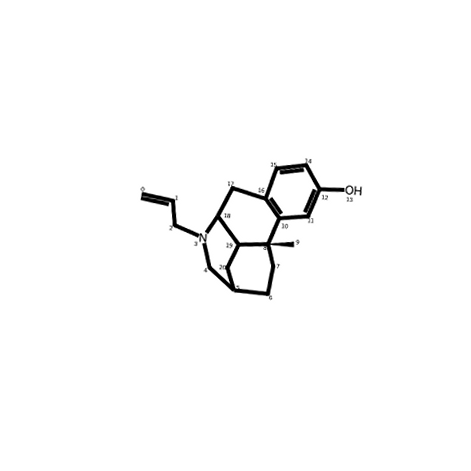 C=CCN1CC2CC[C@@]3(C)c4cc(O)ccc4CC1C3C2